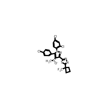 C[S+]([O-])c1c(-c2nnc(C3(C(F)(F)F)CCC3)s2)nn(-c2ccc(Cl)cc2Cl)c1-c1ccc(Cl)cc1